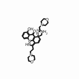 NCC1(NCCN2CCOCC2)C=Cc2c(CCN3CCOCC3)[nH]n3c2c1c(=O)c1c(O)cccc13